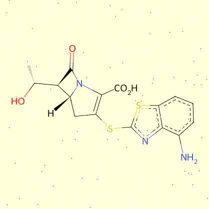 C[C@@H](O)[C@H]1C(=O)N2C(C(=O)O)=C(Sc3nc4c(N)cccc4s3)C[C@H]12